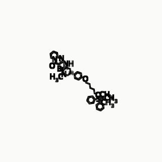 CN1C[C@H](Nc2nc3ccccn3c(=O)c2Br)C[C@H](c2ccc(OCCCCCO[Si](c3ccccc3)(c3ccccc3)C(C)(C)C)cc2)C1